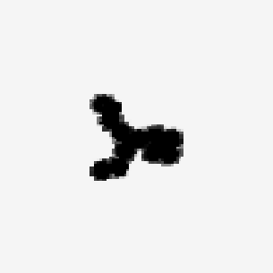 c1ccc(-c2cccc(-c3ccc(N(c4ccc(-c5ccc6c(c5)oc5ccccc56)cc4)c4ccc(-c5cccc6c5-c5ccccc5C6(c5ccccc5)c5ccccc5)cc4)cc3)c2)cc1